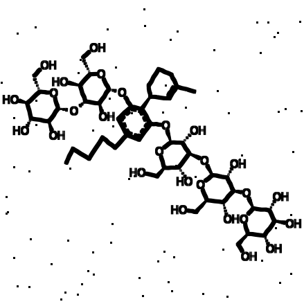 CCCCCc1cc(O[C@H]2O[C@@H](CO)[C@H](O)[C@@H](O[C@H]3O[C@@H](CO)[C@H](O)[C@@H](O)[C@@H]3O)[C@@H]2O)c([C@@H]2C=C(C)CCC2)c(O[C@@H]2O[C@H](CO)[C@@H](O)[C@H](O[C@@H]3O[C@H](CO)[C@@H](O)[C@H](O[C@@H]4O[C@H](CO)[C@@H](O)[C@H](O)[C@H]4O)[C@H]3O)[C@H]2O)c1